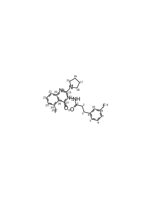 O=C(CCc1cccc(F)c1)Nn1c(N2CCCC2)nc2cccc(F)c2c1=O